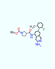 Cc1cccc(F)c1-c1cc(NC(=O)C2CCN(C(=O)OC(C)(C)C)C2)c2cc(N)ncc2c1